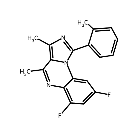 Cc1ccccc1-c1nc(C)c2c(C)nc3c(F)cc(F)cc3n12